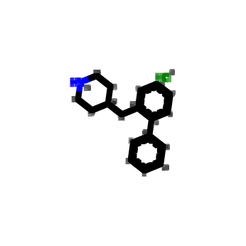 Cl.c1ccc(-c2ccccc2CC2CCNCC2)cc1